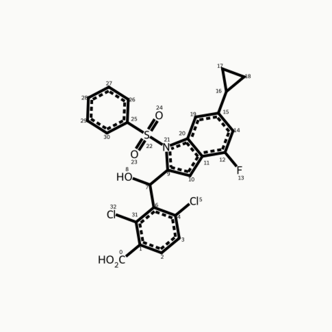 O=C(O)c1ccc(Cl)c(C(O)c2cc3c(F)cc(C4CC4)cc3n2S(=O)(=O)c2ccccc2)c1Cl